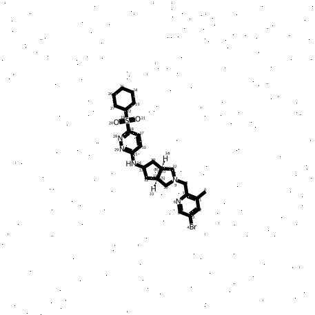 Cc1cc(Br)cnc1CN1C[C@H]2CC(Nc3ccc(S(=O)(=O)C4CCCCC4)nn3)C[C@H]2C1